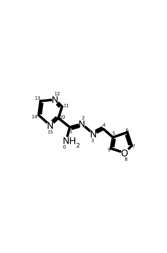 NC(=NN=Cc1ccoc1)c1cnccn1